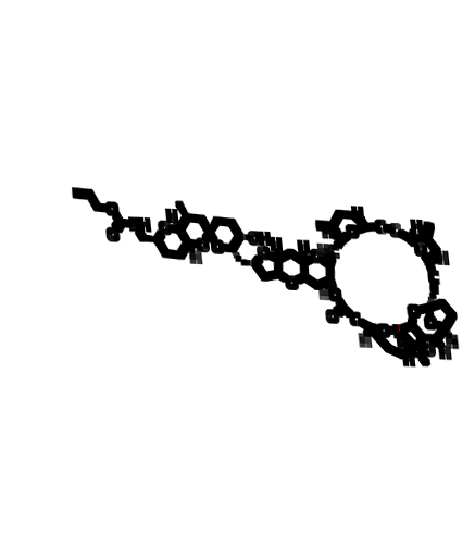 C=CCOC(=O)NC[C@@H]1CC[C@@H]2O[C@]3(CC[C@H](O)[C@H](C[C@H]4CC5OC6C[C@H]7OC(=O)C[C@H]8CC[C@@H]9O[C@@H]%10C(OC)[C@@H](O[C@@]%11(CC[C@H]%12CC(=C)[C@H](CC[C@H]%13CCC(=C)[C@@H](C[C@@H]7O[C@H]6C[C@H]5O4)O%13)O%12)CC[C@@H]%10O%11)[C@H]9O8)O3)C[C@H](C)[C@@H]2O1